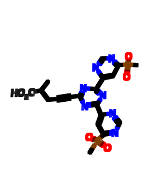 CC(CC#Cc1nc(-c2cc(S(C)(=O)=O)ncn2)nc(-c2cc(S(C)(=O)=O)ncn2)n1)C(=O)O